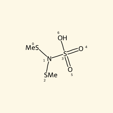 CSN(SC)S(=O)(=O)O